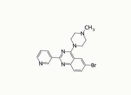 CN1CCN(c2nc(-c3cccnc3)nc3ccc(Br)cc23)CC1